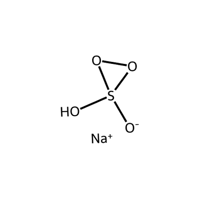 [Na+].[O-]S1(O)OO1